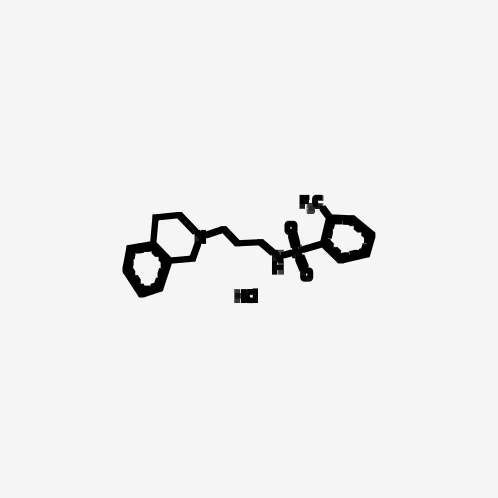 Cl.O=S(=O)(NCCCN1CCc2ccccc2C1)c1ccccc1C(F)(F)F